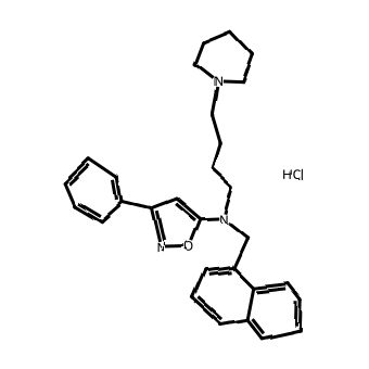 Cl.c1ccc(-c2cc(N(CCCCN3CCCCC3)Cc3cccc4ccccc34)on2)cc1